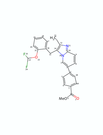 COC(=O)c1ccc(-c2ccc3nc(C)c(Cc4ccccc4OC(F)F)n3c2)cc1